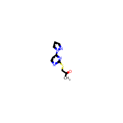 CC(=O)CSc1nccc(-n2cccn2)n1